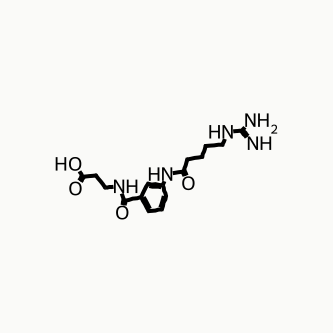 N=C(N)NCCCCC(=O)Nc1cccc(C(=O)NCCC(=O)O)c1